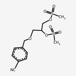 CS(=O)(=O)OCC(COCc1ccc(C#N)cc1)OS(C)(=O)=O